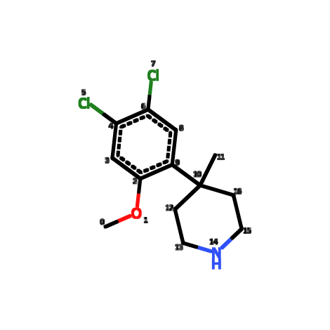 COc1cc(Cl)c(Cl)cc1C1(C)CCNCC1